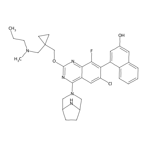 CCCN(C)CC1(COc2nc(N3CC4CCC(C3)N4)c3cc(Cl)c(-c4cc(O)cc5ccccc45)c(F)c3n2)CC1